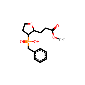 CCCOC(=O)CCC1OCCC1P(=O)(O)Cc1ccccc1